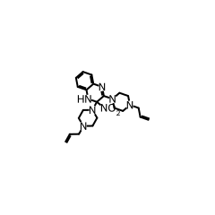 C=CCN1CCN(C2=Nc3ccccc3NC2(N2CCN(CC=C)CC2)[N+](=O)[O-])CC1